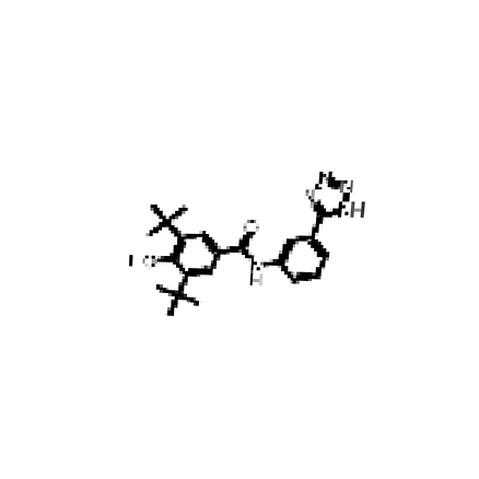 CC(C)(C)c1cc(C(=O)Nc2cccc(-c3nnn[nH]3)c2)cc(C(C)(C)C)c1O